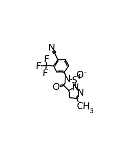 CC1=NN2C(C1)C(=O)N(c1ccc(C#N)c(C(F)(F)F)c1)[S+]2[O-]